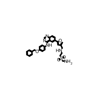 NCS(=O)(=O)CCNCc1coc(-c2ccc3ncnc(Nc4ccc(OCc5ccccc5)cc4)c3c2)c1